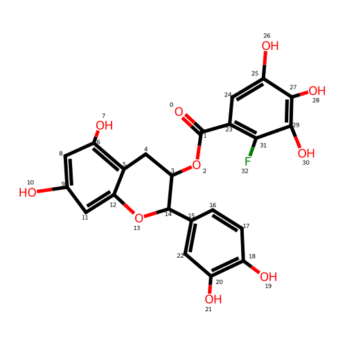 O=C(OC1Cc2c(O)cc(O)cc2OC1c1ccc(O)c(O)c1)c1cc(O)c(O)c(O)c1F